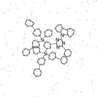 c1ccc(-c2ccc([Si](c3ccccc3)(c3ccc(-c4ccccc4)cc3)c3cc(-c4nc(-c5ccccc5)nc(-n5c6ccccc6c6ccccc65)n4)cc([Si](c4ccccc4)(c4ccc(-c5ccccc5)cc4)c4ccc(-c5ccccc5)cc4)c3)cc2)cc1